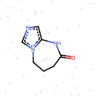 O=C1CCCn2cncc2N1